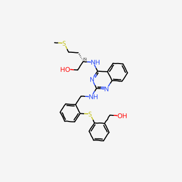 CSCC[C@@H](CO)Nc1nc(NCc2ccccc2Sc2ccccc2CO)nc2ccccc12